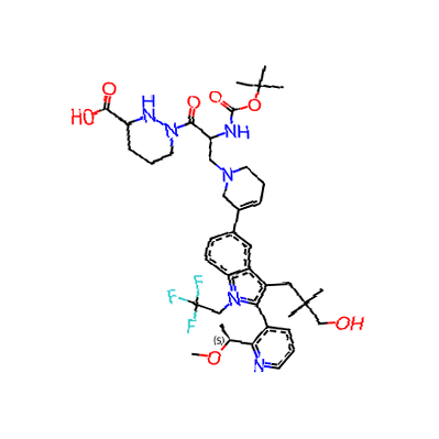 CO[C@@H](C)c1ncccc1-c1c(CC(C)(C)CO)c2cc(C3=CCCN(CC(NC(=O)OC(C)(C)C)C(=O)N4CCCC(C(=O)O)N4)C3)ccc2n1CC(F)(F)F